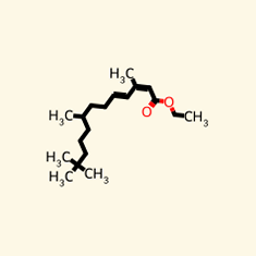 CCOC(=O)C=C(C)C=CCCC(C)CCCC(C)(C)C